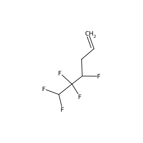 C=CCC(F)C(F)(F)C(F)F